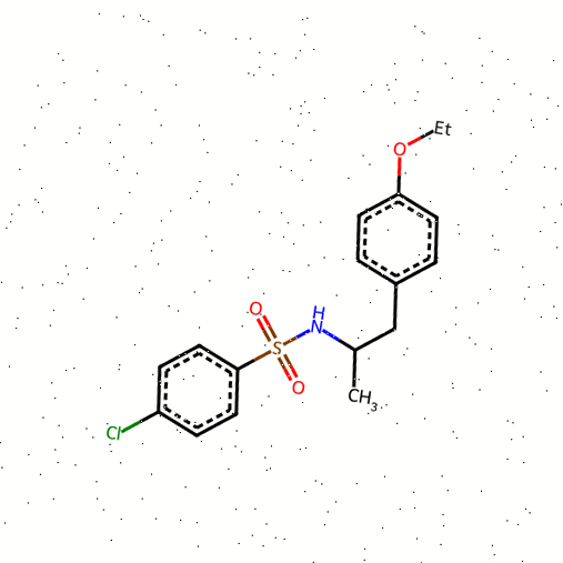 CCOc1ccc(CC(C)NS(=O)(=O)c2ccc(Cl)cc2)cc1